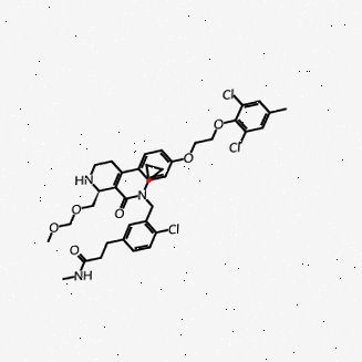 CNC(=O)CCc1ccc(Cl)c(CN(C(=O)C2=C(c3ccc(OCCOc4c(Cl)cc(C)cc4Cl)cc3)CCN[C@@H]2COCOC)C2CC2)c1